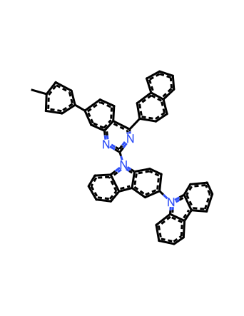 Cc1ccc(-c2ccc3c(-c4ccc5ccccc5c4)nc(-n4c5ccccc5c5cc(-n6c7ccccc7c7ccccc76)ccc54)nc3c2)cc1